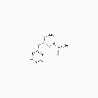 CC(C)(C)C(=O)OC[C@@H](CN)Cc1ccccc1